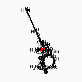 CCCC[C@H](NC(=O)[C@H](CCCN)NC(=O)[C@H](Cc1c[nH]cn1)NC(=O)[C@H](CCC(N)=O)NC(=O)[C@H](CO)NC(=O)CNC(=O)COCCOCCNC(=O)CCCCCCCCCCCCCCCc1nnn[nH]1)C(=O)N[C@H]1CCC(=O)NCCCC[C@@H](C(C)=O)NC(=O)[C@H](Cc2c[nH]c3ccccc23)NC(=O)[C@H](CCCNC(=N)N)NC(=O)[C@@H](Cc2ccccc2)NC(=O)[C@@H]2C[C@@H](O)CN2C1=O